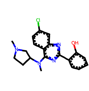 CN1CCC(N(C)c2nc(-c3ccccc3O)nc3cc(Cl)ccc23)C1